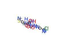 Cc1ncsc1-c1ccc([C@H](C)NC(=O)[C@@H]2C[C@@H](O)CN2C(=O)C(NC(=O)CN2CCN(c3ccc(-c4cnnc(Cl)c4)cc3)CC2)C(C)(C)C)cc1